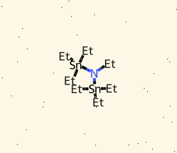 CC[N]([Sn]([CH2]C)([CH2]C)[CH2]C)[Sn]([CH2]C)([CH2]C)[CH2]C